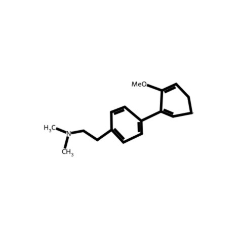 COC1=CC[CH]C=C1c1ccc(CCN(C)C)cc1